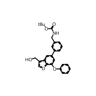 CC(C)(C)OC(=O)NCc1cccc(-c2cc(Oc3ccccc3)c3occ(CO)c3c2)c1